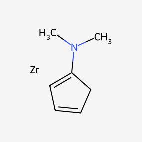 CN(C)C1=CC=CC1.[Zr]